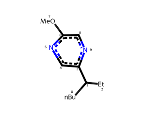 CCCCC(CC)c1cnc(OC)cn1